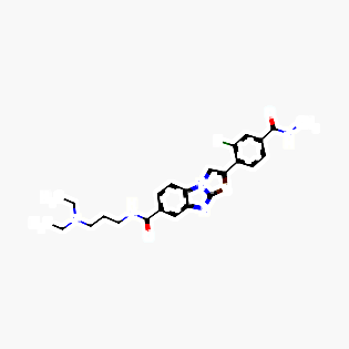 CCN(CC)CCCNC(=O)c1ccc2c(c1)nc1sc(-c3ccc(C(=O)NC)cc3F)cn12